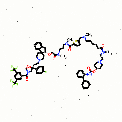 CN(CCCCCC(=O)N(C)CCN1CCC(OC(=O)Nc2ccccc2-c2ccccc2)CC1)Cc1ccc(C(=O)N(C)CCCN(C)C(=O)CO[C@H]2Cc3ccccc3C23CCN(CC[C@@]2(c4ccc(F)cc4)CN(C(=O)c4cc(C(F)(F)F)cc(C(F)(F)F)c4)CO2)CC3)s1